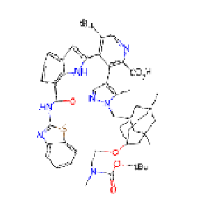 Cc1c(-c2c(C(=O)O)ncc(C(C)(C)C)c2-c2cc3cccc(C(=O)Nc4nc5ccccc5s4)c3[nH]2)cnn1CC12CC3(C)CC(C)(C1)CC(OCCN(C)C(=O)OC(C)(C)C)(C3)C2